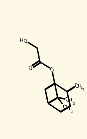 CC1CCC2CC1(OC(=O)CO)C2(C)C